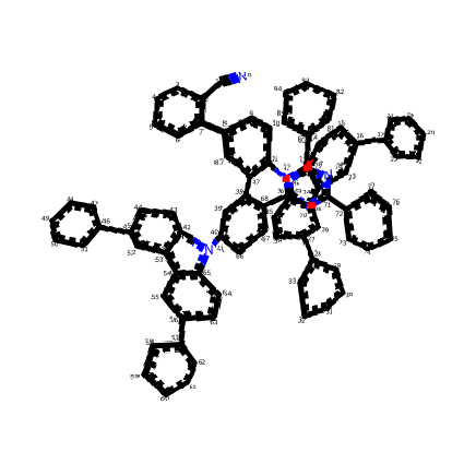 N#Cc1ccccc1-c1ccc(-n2c3ccc(-c4ccccc4)cc3c3cc(-c4ccccc4)ccc32)c(-c2cc(-n3c4ccc(-c5ccccc5)cc4c4cc(-c5ccccc5)ccc43)ccc2-c2nc(-c3ccccc3)nc(-c3ccccc3)n2)c1